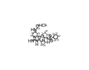 CC(C)C[C@@H](NS(=O)(=O)c1ccccc1)C(=O)N1CCC[C@H]1C(=O)NC(=N)N1CCC(NC=O)CC1.Cl